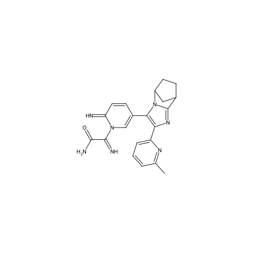 Cc1cccc(-c2nc3n(c2-c2ccc(=N)n(C(=N)C(N)=O)c2)C2CCC3C2)n1